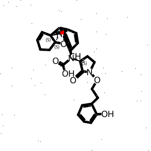 CN1CC[C@@]23C=CCC[C@@H]2Oc2c(N(C(=O)O)[C@H]4CCN(OCCc5ccccc5O)C4=O)ccc(c23)C1